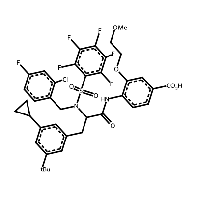 COCCOc1cc(C(=O)O)ccc1NC(=O)C(Cc1cc(C2CC2)cc(C(C)(C)C)c1)N(Cc1ccc(F)cc1Cl)S(=O)(=O)c1c(F)c(F)c(F)c(F)c1F